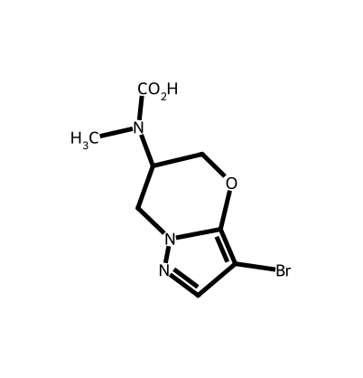 CN(C(=O)O)C1COc2c(Br)cnn2C1